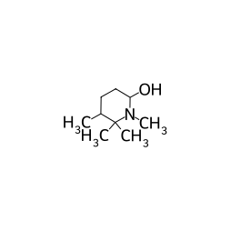 CC1CCC(O)N(C)C1(C)C